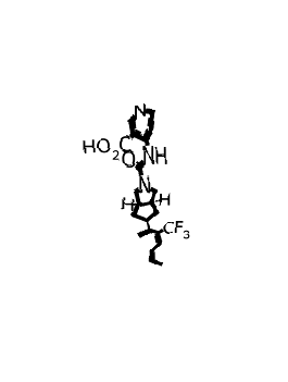 C=C(/C(=C\C=C/C)C(F)(F)F)[C@@H]1C[C@@H]2CN(C(=O)Nc3ccncc3C(=O)O)C[C@@H]2C1